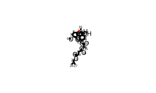 COc1ccc2c3c1O[C@H]1C(OC(=O)[C@H](C)OC(=O)CCC(=O)OCC(C)C)=CC[C@@]4(O)[C@@H](C2)N(C)CC[C@]314